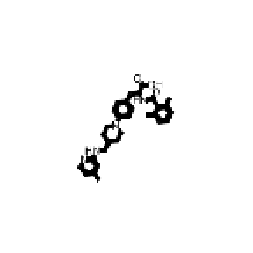 Cc1ccnc(NCC2CCN(c3ccc(CC(NC(=O)c4c(C)cccc4C)C(=O)O)cc3)CC2)c1